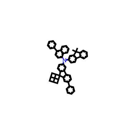 CC1(C)c2ccccc2-c2ccc(N(c3ccc4c(c3)-c3ccc(-c5ccccc5)cc3C43C4CC5CC6CC3C564)c3ccc(-c4ccccc4)c4ccccc34)cc21